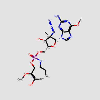 CCOc1nc(N)nc2c1ncn2[C@@H]1O[C@H](COP(=O)(NCCOC(C)=O)OC/C(OC=O)=C(/O)C(C)C)[C@@H](O)[C@@]1(C)N=[N+]=[N-]